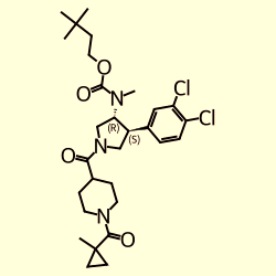 CN(C(=O)OCCC(C)(C)C)[C@H]1CN(C(=O)C2CCN(C(=O)C3(C)CC3)CC2)C[C@@H]1c1ccc(Cl)c(Cl)c1